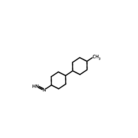 CC1CCC(C2CCC(N=N)CC2)CC1